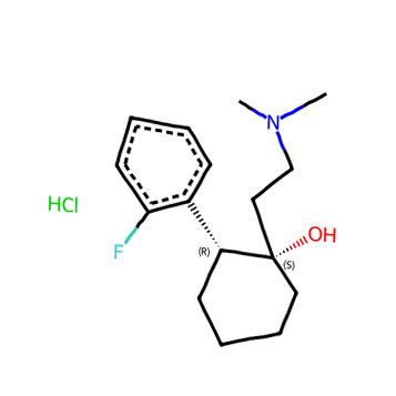 CN(C)CC[C@@]1(O)CCCC[C@@H]1c1ccccc1F.Cl